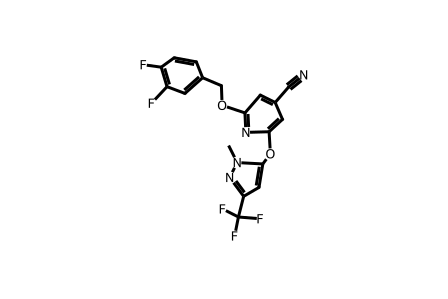 Cn1nc(C(F)(F)F)cc1Oc1cc(C#N)cc(OCc2ccc(F)c(F)c2)n1